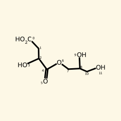 O=C(O)CC(O)C(=O)OCC(O)CO